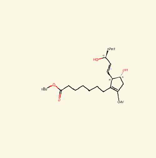 CCCCC[C@H](O)/C=C/[C@@H]1C(CCCCCCC(=O)OCCCC)=C(OC(C)=O)C[C@H]1O